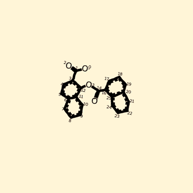 [O]C(=O)c1ccc2ccccc2c1OC(=O)c1cccc2ccccc12